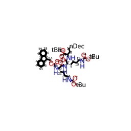 CCCCCCCCCCCCC(NC(=O)[C@H](CCCCNC(=O)OC(C)(C)C)NC(=O)[C@H](CCCCNC(=O)OC(C)(C)C)NC(=O)OCC1c2ccccc2-c2ccccc21)C(=O)OC(C)(C)C